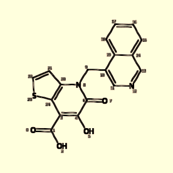 O=C(O)c1c(O)c(=O)n(Cc2cncc3ccccc23)c2ccsc12